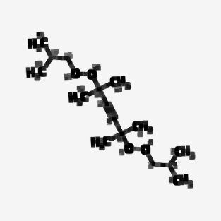 CC(C)COOC(C)(C)C#CC(C)(C)OOCC(C)C